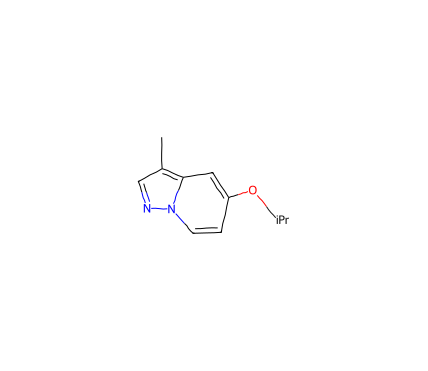 Cc1cnn2ccc(OC(C)C)cc12